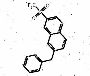 O=S(=O)(c1ccc2ccc(Cc3ccccc3)cc2c1)C(F)(F)F